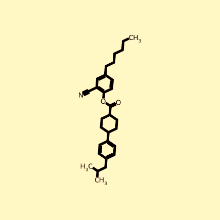 CCCCCCc1ccc(OC(=O)C2CCC(c3ccc(CC(C)C)cc3)CC2)c(C#N)c1